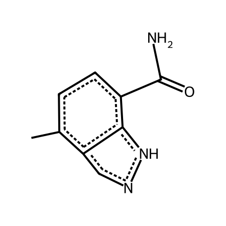 Cc1ccc(C(N)=O)c2[nH]ncc12